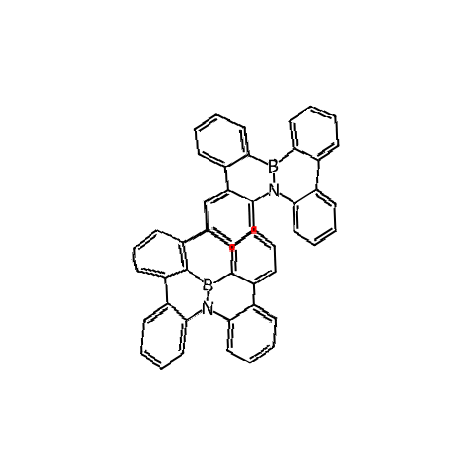 c1ccc2c(c1)B1c3ccccc3-c3cc(-c4cccc5c4B4c6ccccc6-c6ccccc6N4c4ccccc4-5)ccc3N1c1ccccc1-2